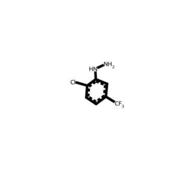 NNc1cc(C(F)(F)F)ccc1Cl